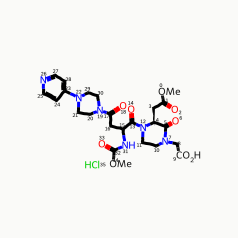 COC(=O)C[C@H]1C(=O)N(CC(=O)O)CCN1C(=O)C(CC(=O)N1CCN(c2ccncc2)CC1)NC(=O)OC.Cl